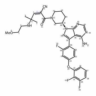 COCCNC(C)(C)/C=C(/C#N)C(=O)N1CCC[C@@H](n2nc(-c3ccc(Oc4cccc(F)c4F)cc3F)c3c(N)ncnc32)C1